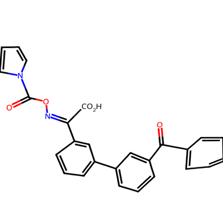 O=C(O)/C(=N\OC(=O)n1cccc1)c1cccc(-c2cccc(C(=O)c3ccccc3)c2)c1